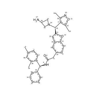 Cc1ccc([C@@H](NC(=O)Cc2ccc3oc([C@H](c4c(C)noc4C)N4CC(N)C4)cc3c2)c2ccccc2)c(C)c1